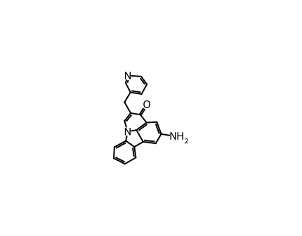 Nc1cc2c(=O)c(Cc3cccnc3)cn3c4ccccc4c(c1)c23